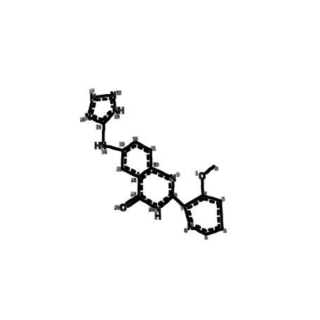 COc1cccnc1-c1nc2ccc(Nc3nnn[nH]3)cc2c(=O)[nH]1